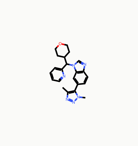 Cc1nnn(C)c1-c1ccc2ncn(C(c3ccccn3)C3CCOCC3)c2c1